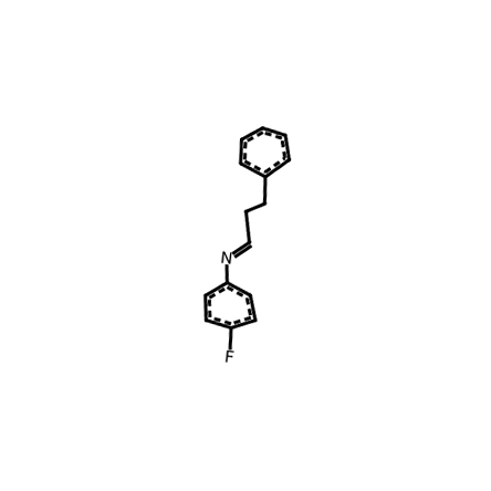 Fc1ccc(N=CCCc2ccccc2)cc1